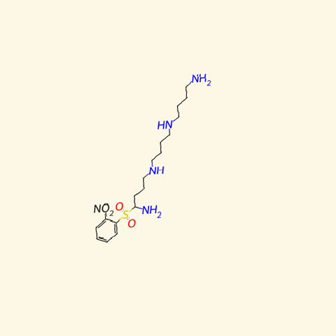 NCCCCNCCCCNCCCC(N)S(=O)(=O)c1ccccc1[N+](=O)[O-]